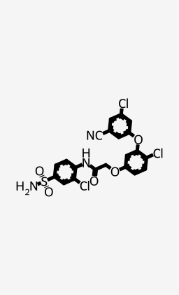 N#Cc1cc(Cl)cc(Oc2cc(OCC(=O)Nc3ccc(S(N)(=O)=O)cc3Cl)ccc2Cl)c1